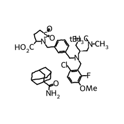 COc1ccc(Cl)c(CN(Cc2cccc(CN3C(C(=O)O)CCS3(=O)=O)c2)[C@H](CN(C)C)CC(C)(C)C)c1F.NC(=O)C12CC3CC(CC(C3)C1)C2